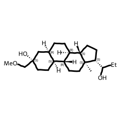 CCC(O)[C@H]1CC[C@H]2[C@@H]3CC[C@@H]4C[C@](O)(COC)CC[C@@H]4[C@H]3CC[C@]12C